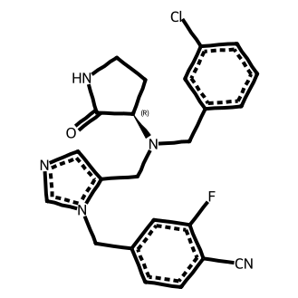 N#Cc1ccc(Cn2cncc2CN(Cc2cccc(Cl)c2)[C@@H]2CCNC2=O)cc1F